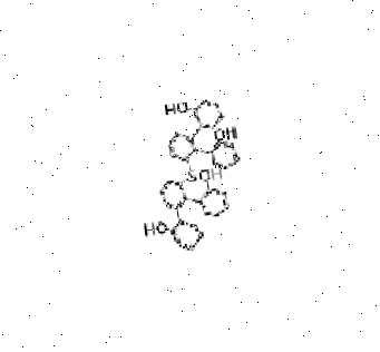 Oc1ccccc1-c1cccc(Sc2cccc(-c3ccccc3O)c2-c2ccccc2O)c1-c1ccccc1O